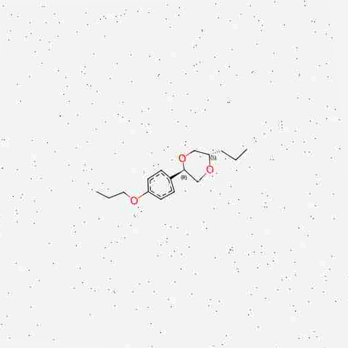 CCCOc1ccc([C@@H]2CO[C@@H](CCC)CO2)cc1